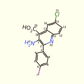 Nc1c(-c2ccc(I)cc2)nc2ccc(Cl)cc2c1C(=O)O